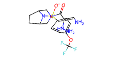 N/C=C(\NN)C(=O)N1CC2CCC(C1)N2[S+]([O-])c1ccc(OC(F)(F)F)cc1